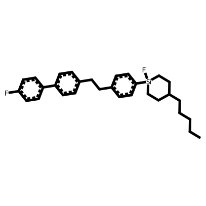 CCCCCC1CC[Si](F)(c2ccc(CCc3ccc(-c4ccc(F)cc4)cc3)cc2)CC1